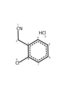 Cl.N#CCc1ccccc1Cl